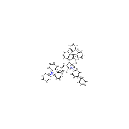 C1=CCCC(C2(C3=CC4C5=C(C[C@@H](c6cccc7c6c6ccccc6n7[C@@H]6CC=CCC6)C=C5)N(c5ccc(-c6ccccc6)cc5)[C@@H]4CC3)c3ccccc3-c3ccccc32)=C1